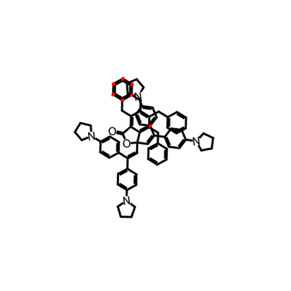 O=C1OC(C=C(c2ccc(N3CCCC3)cc2)c2ccc(N3CCCC3)cc2)(C=C(c2ccc(N3CCCC3)cc2)c2ccc(N3CCCC3)cc2)c2c(Cc3ccccc3)c(Cc3ccccc3)c(Cc3ccccc3)c(Cc3ccccc3)c21